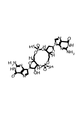 Nc1nc2c(c(=O)[nH]1)N=CC2[C@@H]1O[C@@H]2COP(=O)(S)O[C@H]3C[C@H](n4cnc5c(=O)[nH]c(N)nc54)O[C@@H]3COP(=O)(S)O[C@H]2[C@H]1O